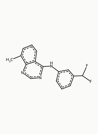 Cc1cccc2c(Nc3cccc(C(F)F)c3)ncnc12